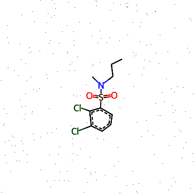 CCCN(C)S(=O)(=O)c1cccc(Cl)c1Cl